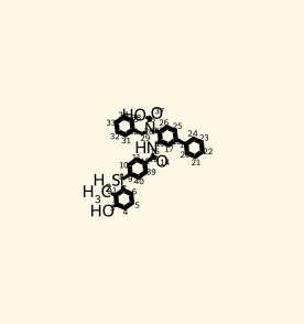 Cc1c(O)cccc1[SiH2]c1ccc(C(=O)Nc2cc(-c3ccccc3)ccc2N(Cc2ccccc2)C(=O)O)cc1